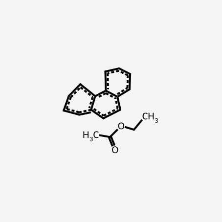 CCOC(C)=O.c1ccc2c(c1)ccc1ccccc12